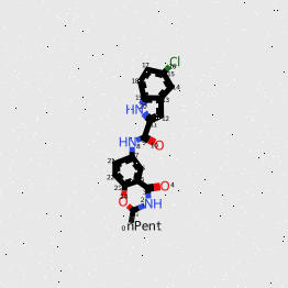 CCCCCC1NC(=O)c2cc(NC(=O)c3cc4cc(Cl)ccc4[nH]3)ccc2O1